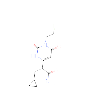 NC(=O)C(CC1CC1)c1cc(=O)n(CCF)c(=O)[nH]1